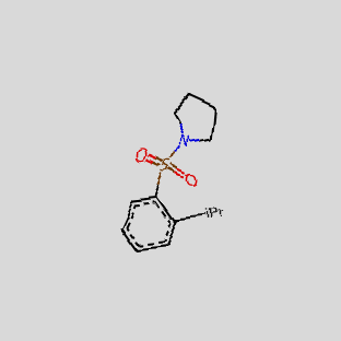 CC(C)c1ccccc1S(=O)(=O)N1CCCC1